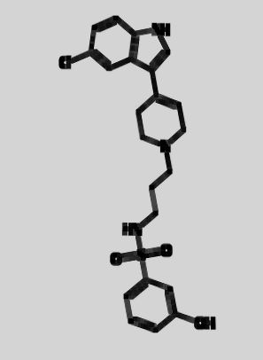 O=S(=O)(NCCCN1CC=C(c2c[nH]c3ccc(Cl)cc23)CC1)c1cccc(O)c1